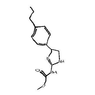 CCCc1ccc(C2CNC(NC(=O)OC)=N2)cc1